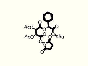 CCCCOC(=O)[C@H](OC(=O)[C@H](OC(C)=O)[C@@H](OC(C)=O)C(=O)ON1C(=O)CCC1=O)c1ccccc1